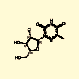 Cc1nn([C@@H]2O[C@H](CO)[C@@H](O)[C@@H]2Cl)c(=O)[nH]c1=O